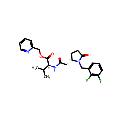 CC(C)[C@H](NC(=O)C[C@@H]1CCC(=O)N1Cc1cccc(F)c1F)C(=O)OCc1ccccn1